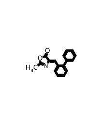 CC1=NC(=Cc2ccccc2-c2ccccc2)C(=O)O1